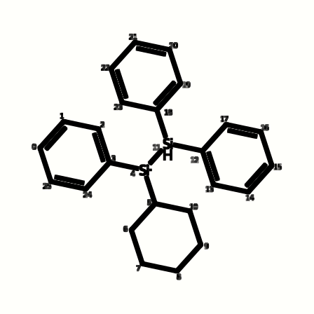 c1ccc([Si](C2CCCCC2)[SiH](c2ccccc2)c2ccccc2)cc1